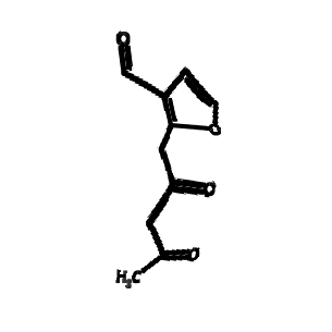 CC(=O)CC(=O)Cc1occc1C=O